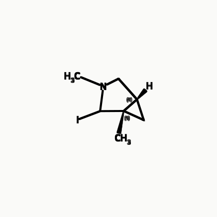 CN1C[C@@H]2C[C@]2(C)C1I